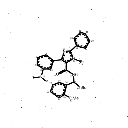 CCCCC(NC(=O)c1c(-c2cccc(N(C)C)c2)nc(-c2ccccc2)n1CC)c1ccccc1OC